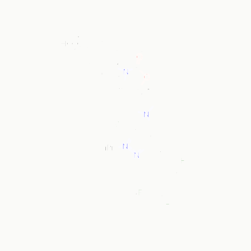 CC(C)n1nc(Cc2cc(F)c(F)cc2F)c(CN2CCC3(CC2)CN(c2ccc(C(=O)O)cc2)C(=O)O3)c1Cl